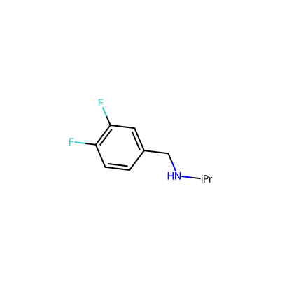 CC(C)NCc1ccc(F)c(F)c1